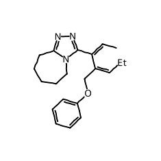 C/C=C(\C(=C/CC)COc1ccccc1)c1nnc2n1CCCCC2